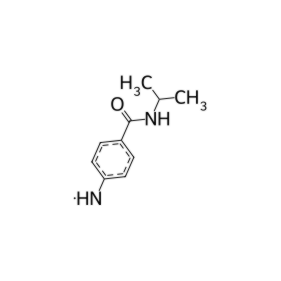 CC(C)NC(=O)c1ccc([NH])cc1